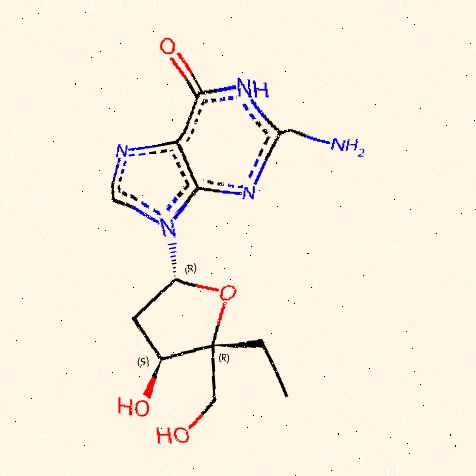 CC[C@]1(CO)O[C@@H](n2cnc3c(=O)[nH]c(N)nc32)C[C@@H]1O